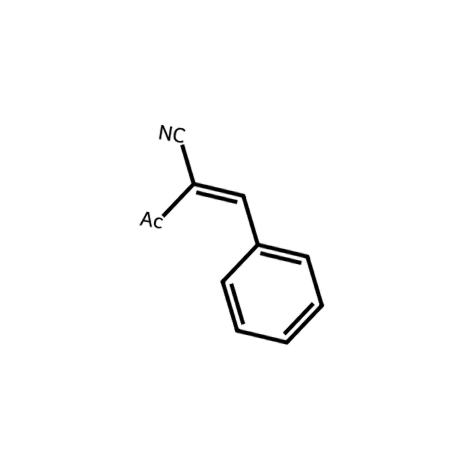 CC(=O)/C(C#N)=C\c1ccccc1